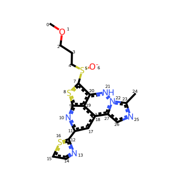 COCCC[S+]([O-])c1sc2nc(-c3nccs3)cc3c2c1[nH]n1c(C)ncc31